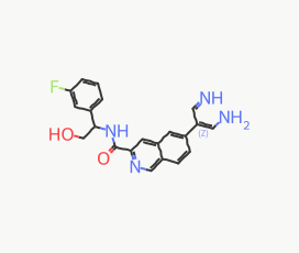 N=C/C(=C\N)c1ccc2cnc(C(=O)NC(CO)c3cccc(F)c3)cc2c1